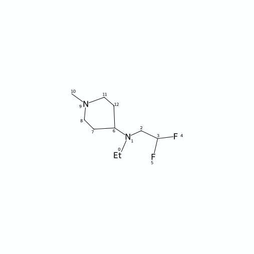 CCN(CC(F)F)C1CCN(C)CC1